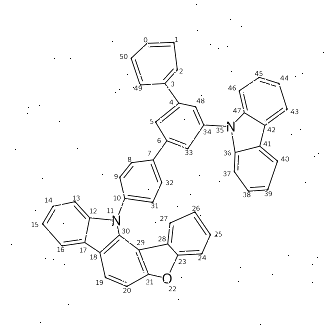 c1ccc(-c2cc(-c3ccc(-n4c5ccccc5c5ccc6oc7ccccc7c6c54)cc3)cc(-n3c4ccccc4c4ccccc43)c2)cc1